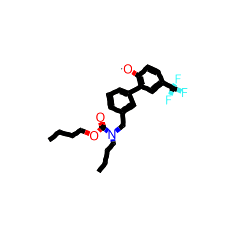 CCCCOC(=O)N(CCCC)Cc1cccc(-c2cc(C(F)(F)F)ccc2[O])c1